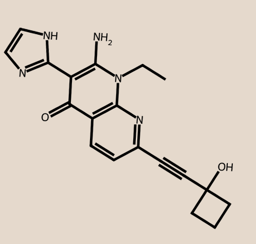 CCn1c(N)c(-c2ncc[nH]2)c(=O)c2ccc(C#CC3(O)CCC3)nc21